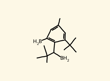 Bc1cc(C)cc(C(C)(C)C)c1C(B)C(C)(C)C